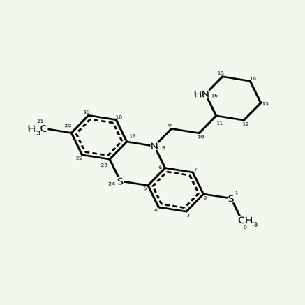 CSc1ccc2c(c1)N(CCC1CCCCN1)c1ccc(C)cc1S2